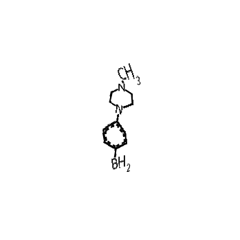 Bc1ccc(N2CCN(C)CC2)cc1